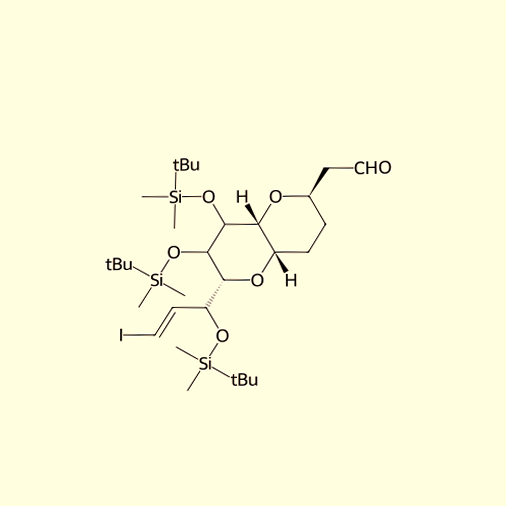 CC(C)(C)[Si](C)(C)OC(/C=C/I)[C@H]1O[C@H]2CC[C@H](CC=O)O[C@H]2C(O[Si](C)(C)C(C)(C)C)C1O[Si](C)(C)C(C)(C)C